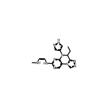 CCC1c2nncn2-c2cnc(N/C=C\NC)nc2N1c1cn[nH]c1